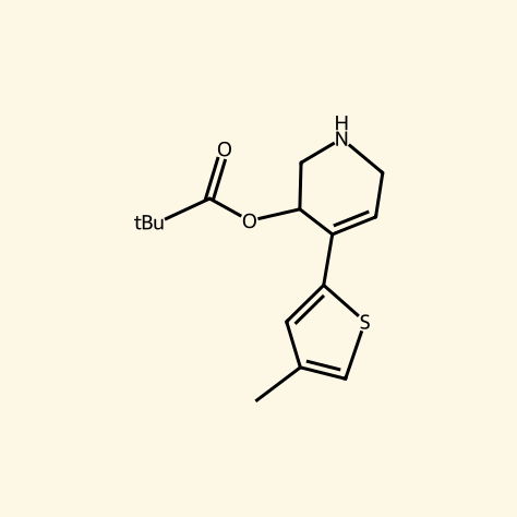 Cc1csc(C2=CCNCC2OC(=O)C(C)(C)C)c1